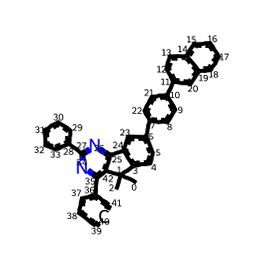 CC1(C)c2ccc(-c3ccc(-c4ccc5ccccc5c4)cc3)cc2-c2nc(-c3ccccc3)nc(-c3ccccc3)c21